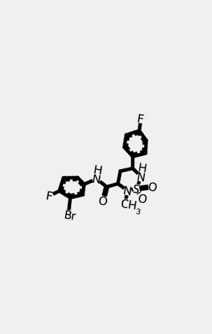 CN1C(C(=O)Nc2ccc(F)c(Br)c2)CC(c2ccc(F)cc2)NS1(=O)=O